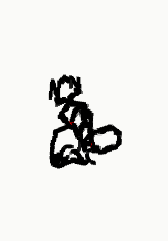 C1=C2CCc3ccc(c(-n4c5ccccc5c5ccccc54)c3)CCC(C=C2c2cncnc2)C1